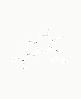 CN1Cc2ccc(C(=O)O)cc2C[C@H](CC(=O)O)C1=O